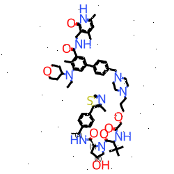 CCN(c1cc(-c2ccc(CN3CCN(CCCOCC(=O)NC(C(=O)N4C[C@H](O)C[C@H]4C(=O)N[C@@H](C)c4ccc(-c5scnc5C)cc4)C(C)(C)C)CC3)cc2)cc(C(=O)NCc2c(C)cc(C)[nH]c2=O)c1C)C1CCOCC1